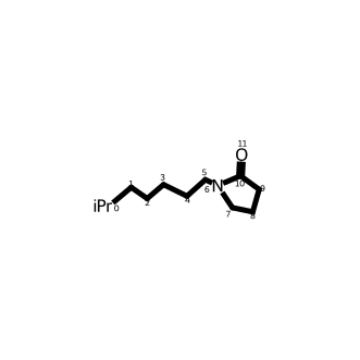 CC(C)CCCCCN1CCCC1=O